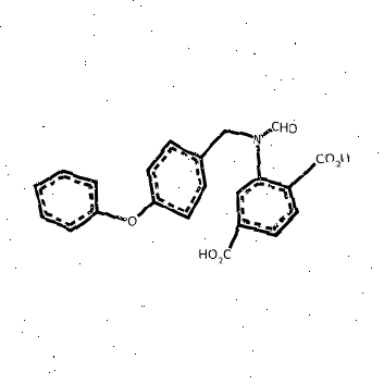 O=CN(Cc1ccc(Oc2ccccc2)cc1)c1cc(C(=O)O)ccc1C(=O)O